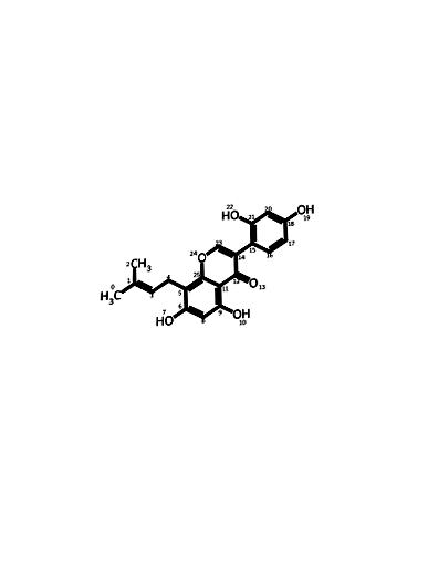 CC(C)=CCc1c(O)cc(O)c2c(=O)c(-c3ccc(O)cc3O)coc12